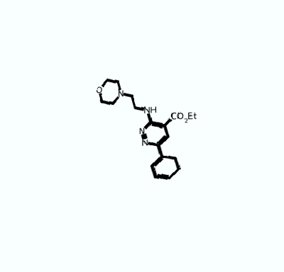 CCOC(=O)c1cc(C2=CC=CCC2)nnc1NCCN1CCOCC1